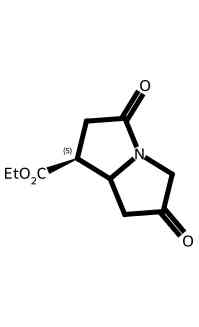 CCOC(=O)[C@H]1CC(=O)N2CC(=O)CC12